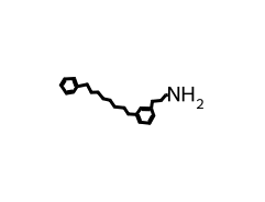 NCCCc1cccc(CCCCCCCCc2ccccc2)c1